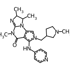 CC1N=C2N(C)C(=O)c3c(cn(CC4CCN(C)C4)c3Nc3ccncc3)N2C1C